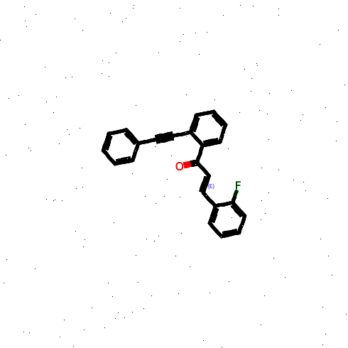 O=C(/C=C/c1ccccc1F)c1ccccc1C#Cc1ccccc1